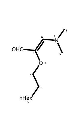 CCCCCCCCO/C(C=O)=C\N(C)C